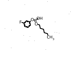 CCCCCCOB(O)Oc1cccc(F)c1